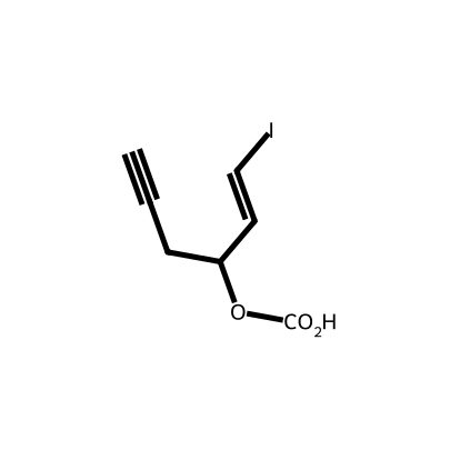 C#CCC(C=CI)OC(=O)O